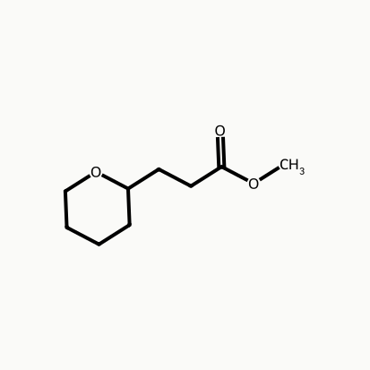 COC(=O)CCC1CCCCO1